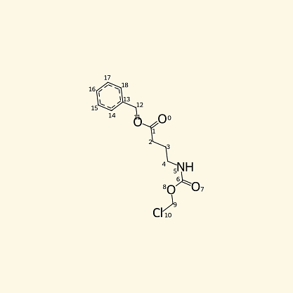 O=C(CCCNC(=O)OCCl)OCc1ccccc1